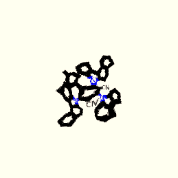 CC1=CCC(c2c(-n3c4c(c5ccccc53)-c3ccccc3CC4)c(C#N)c(-n3c4ccccc4c4ccccc43)c(C#N)c2-n2c3ccccc3c3c4ccccc4ccc32)C=C1